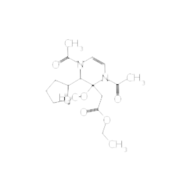 CCOC(=O)CC1(OC)C(C2CCCO2)N(C(C)=O)C=CN1C(C)=O